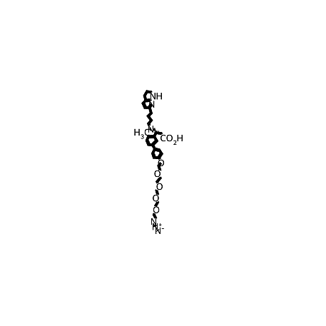 CN(CCCCc1ccc2c(n1)NCCC2)C[C@@H](CC(=O)O)c1cccc(-c2ccc(OCCOCCOCCOCCOCCN=[N+]=[N-])cc2)c1